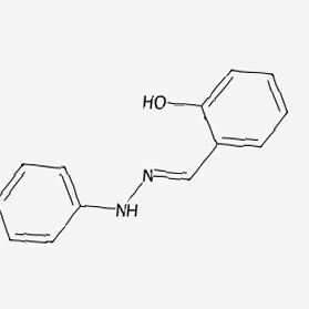 Oc1ccccc1/C=N/Nc1ccccc1